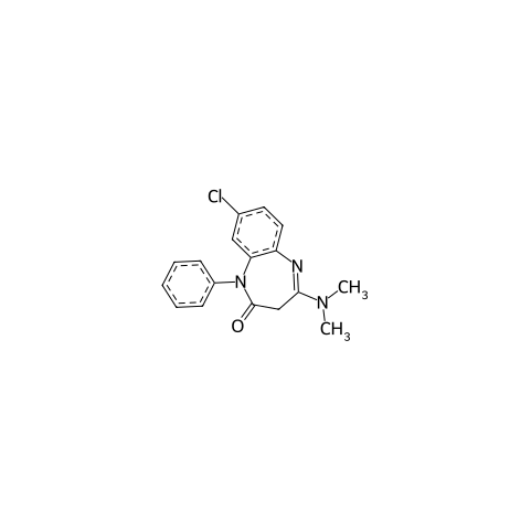 CN(C)C1=Nc2ccc(Cl)cc2N(c2ccccc2)C(=O)C1